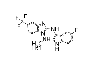 CNn1c(Nc2c[nH]c3ccc(F)cc23)nc2cc(C(F)(F)F)ccc21.Cl